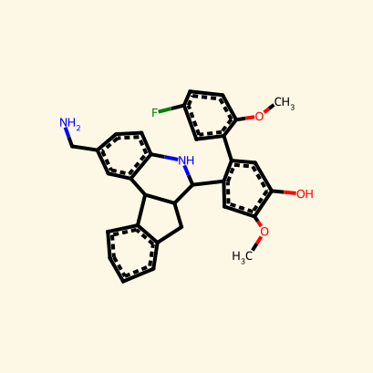 COc1cc(C2Nc3ccc(CN)cc3C3c4ccccc4CC23)c(-c2cc(F)ccc2OC)cc1O